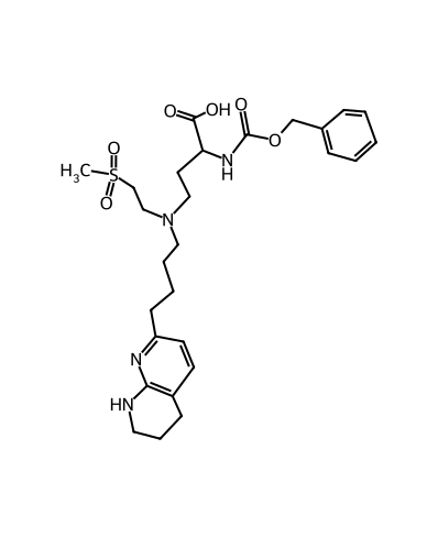 CS(=O)(=O)CCN(CCCCc1ccc2c(n1)NCCC2)CCC(NC(=O)OCc1ccccc1)C(=O)O